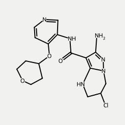 Nc1nn2c(c1C(=O)Nc1cnccc1OC1CCOCC1)NCC(Cl)C2